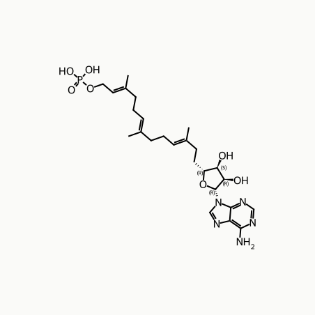 CC(=CCCC(C)=CCOP(=O)(O)O)CCC=C(C)CC[C@H]1O[C@@H](n2cnc3c(N)ncnc32)[C@H](O)[C@@H]1O